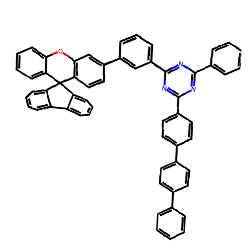 c1ccc(-c2ccc(-c3ccc(-c4nc(-c5ccccc5)nc(-c5cccc(-c6ccc7c(c6)Oc6ccccc6C76c7ccccc7-c7ccccc76)c5)n4)cc3)cc2)cc1